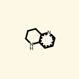 [CH]1CCc2ncccc2N1